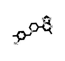 Cc1cc(C2CCCN(Cc3ccc(C)c(C#N)c3)C2)n2ncnc2n1